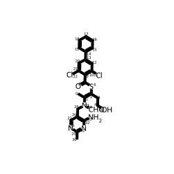 CC(=C(CCO)SC(=O)c1c(Cl)cc(-c2ccccc2)cc1Cl)N(C=O)Cc1cnc(C)nc1N